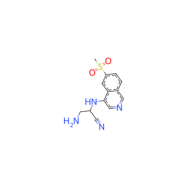 CS(=O)(=O)c1ccc2cncc(NC(C#N)CN)c2c1